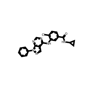 O=C(NC1CC1)c1ccc(Cl)c(Nc2ncnc3c2cnn3-c2ccccc2)c1